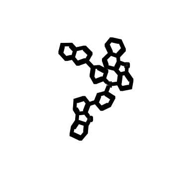 c1cc(-c2cccc3c2oc2ccccc23)cc(N(c2ccc(-c3ccc4ccccc4c3)cc2)c2cccc3oc4c5ccccc5ccc4c23)c1